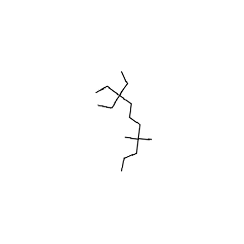 CCCC(C)(C)CCCC(CC)(CC)CC